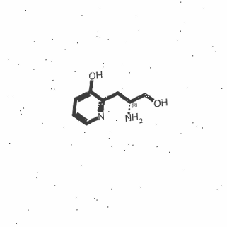 N[C@@H](CO)Cc1ncccc1O